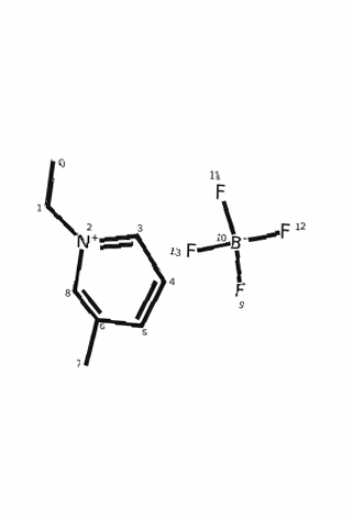 CC[n+]1cccc(C)c1.F[B-](F)(F)F